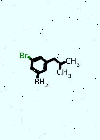 Bc1cc(Br)cc(CC(C)C)c1